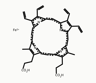 C=CC1=C(C=C)c2cc3[n-]c(cc4nc(cc5[n-]c(cc1n2)c(C)c5CCC(=O)O)C(CCC(=O)O)=C4C)c(C=C)c3C=C.[Fe+2]